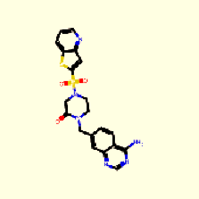 Nc1ncnc2cc(CN3CCN(S(=O)(=O)c4cc5ncccc5s4)CC3=O)ccc12